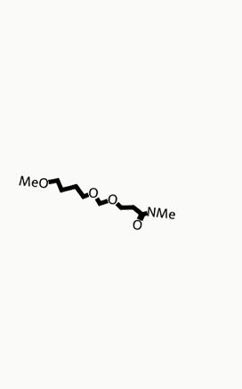 CNC(=O)CCOCOCCCCOC